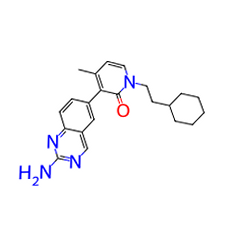 Cc1ccn(CCC2CCCCC2)c(=O)c1-c1ccc2nc(N)ncc2c1